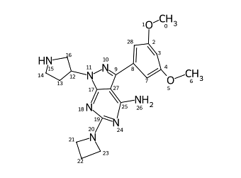 COc1cc(OC)cc(-c2nn(C3CCNC3)c3nc(N4CCC4)nc(N)c23)c1